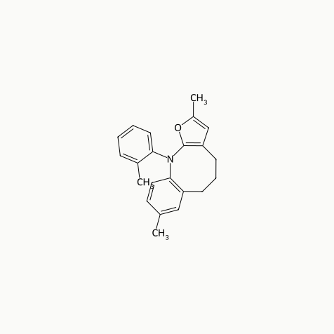 Cc1ccc2c(c1)CCCc1cc(C)oc1N2c1ccccc1C